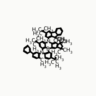 Cc1ccc(-c2ccccc2)cc1N1c2ccc(C(C)(C)C)cc2B2c3cc4c(cc3N(c3cc(C(C)(C)C)cc5c3C(C)(C)c3ccccc3-5)c3cc(C(C)(C)C)cc1c32)C(C)(C)CC4(C)C